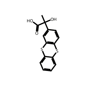 CC(O)(C(=O)O)c1ccc2c(c1)Sc1ccccc1S2